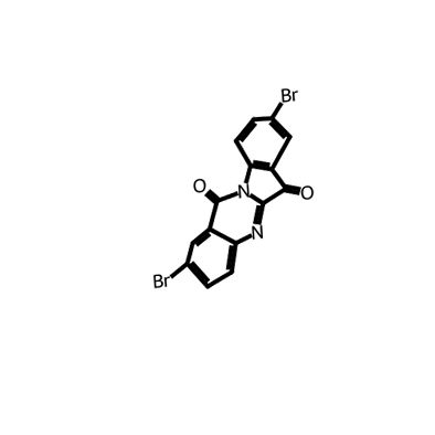 O=C1c2cc(Br)ccc2-n2c1nc1ccc(Br)cc1c2=O